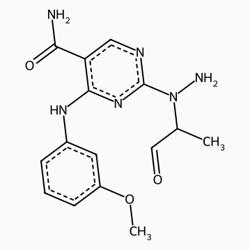 COc1cccc(Nc2nc(N(N)C(C)C=O)ncc2C(N)=O)c1